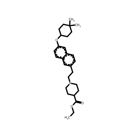 CCOC(=O)C1CCN(CCc2ccc3cc(OC4CCC(C)(C)CC4)ccc3c2)CC1